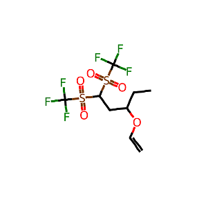 C=COC(CC)CC(S(=O)(=O)C(F)(F)F)S(=O)(=O)C(F)(F)F